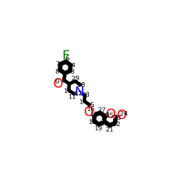 O=C(c1ccc(F)cc1)C1CCN(CCCOc2ccc3ccc(=O)oc3c2)CC1